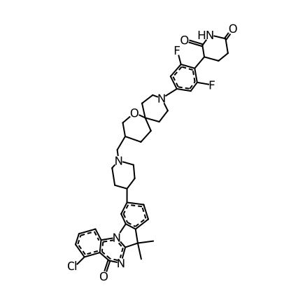 CC1(C)c2ccc(C3CCN(CC4CCC5(CCN(c6cc(F)c(C7CCC(=O)NC7=O)c(F)c6)CC5)OC4)CC3)cc2-n2c1nc(=O)c1c(Cl)cccc12